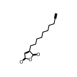 C#CCCCCCCCCC1=CC(=O)OC1=O